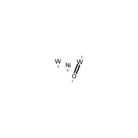 [Ni].[O]=[W].[W]